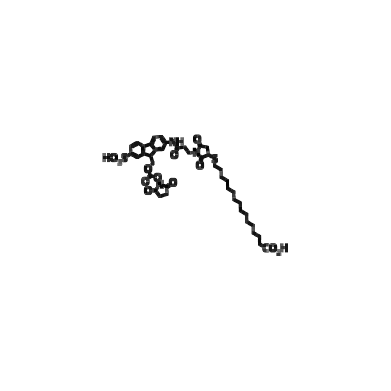 O=C(O)CCCCCCCCCCCCCCCSC1CC(=O)N(CCC(=O)Nc2ccc3c(c2)C(COC(=O)ON2C(=O)CCC2=O)c2cc(S(=O)(=O)O)ccc2-3)C1=O